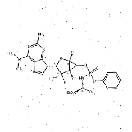 CCOC(=O)[C@H](C)N[P@](=O)(Oc1ccccc1)OC1[C@H]2O[C@@H](n3cnc4c(N(C)C)nc(N)nc43)[C@](C)(F)[C@@]12O